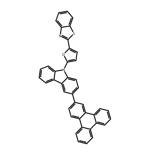 c1ccc2sc(-c3ccc(-n4c5ccccc5c5cc(-c6ccc7c8ccccc8c8ccccc8c7c6)ccc54)o3)nc2c1